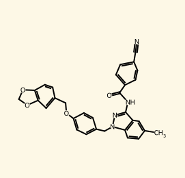 Cc1ccc2c(c1)c(NC(=O)c1ccc(C#N)cc1)nn2Cc1ccc(OCc2ccc3c(c2)OCO3)cc1